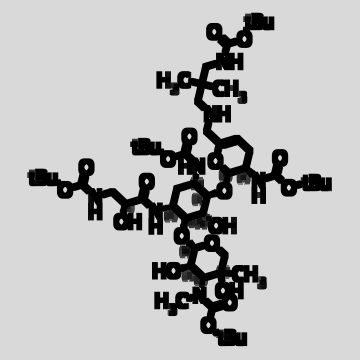 CN(C(=O)OC(C)(C)C)[C@@H]1[C@@H](O)[C@@H](O[C@@H]2[C@@H](O)[C@H](O[C@H]3OC(CNCC(C)(C)CNC(=O)OC(C)(C)C)=CC[C@H]3NC(=O)OC(C)(C)C)[C@@H](NC(=O)OC(C)(C)C)C[C@H]2NC(=O)[C@@H](O)CNC(=O)OC(C)(C)C)OC[C@]1(C)O